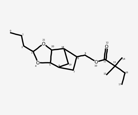 CCCC1OC2C3CC(COC(=O)C(C)(C)CC)C(C3)C2O1